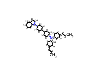 C/C=C/c1ccc(N(c2ccc(/C=C/C)cc2)c2ccc(-c3ccc(-n4ccc5ccccc54)cc3)cc2)cc1